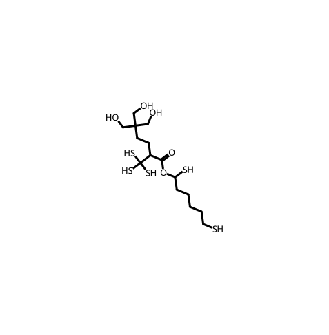 O=C(OC(S)CCCCCS)C(CCC(CO)(CO)CO)C(S)(S)S